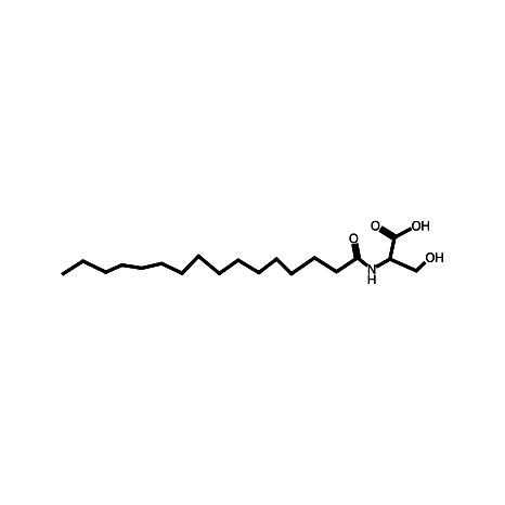 CCCCCCCCCCCCCCCC(=O)NC(CO)C(=O)O